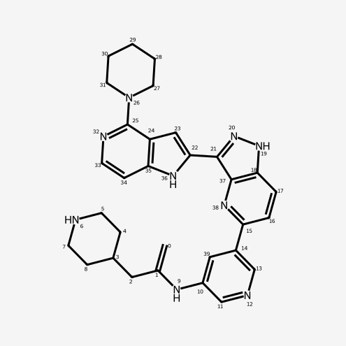 C=C(CC1CCNCC1)Nc1cncc(-c2ccc3[nH]nc(-c4cc5c(N6CCCCC6)nccc5[nH]4)c3n2)c1